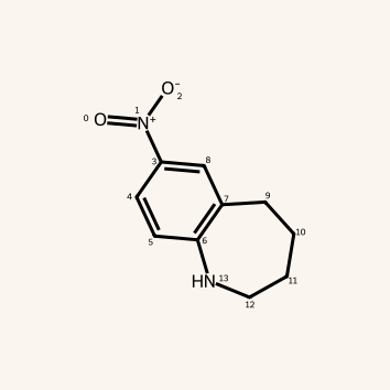 O=[N+]([O-])c1ccc2c(c1)CCCCN2